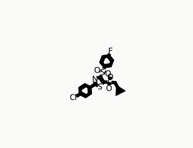 O=S(=O)(CC1CC1)c1sc(-c2ccc(Cl)cc2)nc1S(=O)(=O)c1ccc(F)cc1